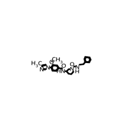 COc1cc(C(=O)NC2CCCN(C(=O)NCCc3ccccc3)C2)ccc1-n1cnc(C)c1